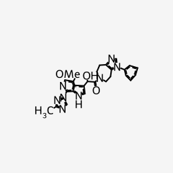 COc1cnc(-n2cnc(C)n2)c2[nH]cc(C(O)C(=O)N3CCc4ncn(-c5ccccc5)c4CC3)c12